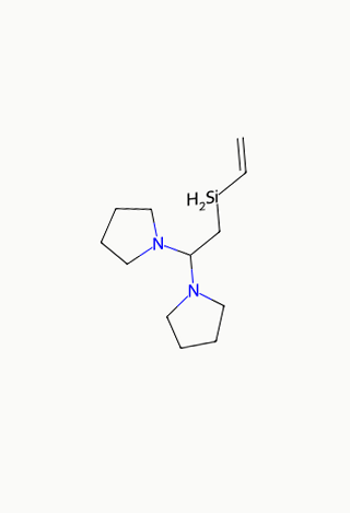 C=C[SiH2]CC(N1CCCC1)N1CCCC1